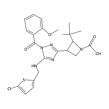 COc1ccccc1C(=O)n1nc(C2CN(C(=O)O)C2C(C)(C)C)nc1NCc1ccc(Cl)s1